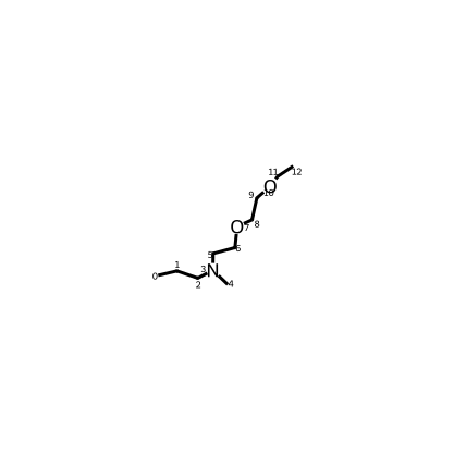 CCCN(C)CCOCCOCC